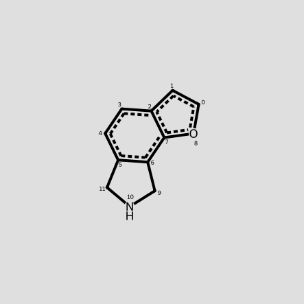 c1cc2ccc3c(c2o1)CNC3